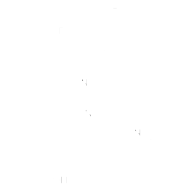 NCCc1c(Cc2cc(F)cc(F)c2)ncn1Cc1cccc(O)c1